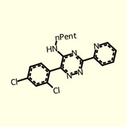 CCCCCNc1nc(-c2ccccn2)nnc1-c1ccc(Cl)cc1Cl